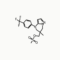 CC1(COS(C)(=O)=O)CN(c2ccc(C(F)(F)F)cc2)c2ccnn2C1